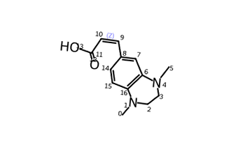 CN1CCN(C)c2cc(/C=C\C(=O)O)ccc21